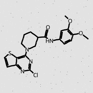 COc1ccc(NC(=O)C2CCCN(c3nc(Cl)nc4ccsc34)C2)cc1OC